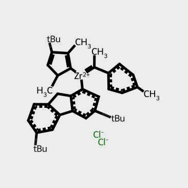 CC1=[C](/[Zr+2](=[C](\C)c2ccc(C)cc2)[c]2cc(C(C)(C)C)cc3c2Cc2ccc(C(C)(C)C)cc2-3)C(C)C=C1C(C)(C)C.[Cl-].[Cl-]